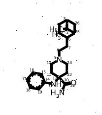 CC1(C)C2CCC(CCN3CCC(Nc4ccccc4)(C(N)=O)CC3)C1C2